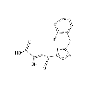 O=C(O)C(O)=CC(=O)c1csc(Cc2ccccc2F)c1